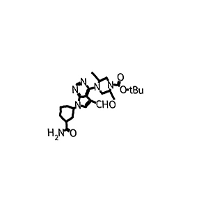 CC1CN(c2ncnc3c2c(C=O)cn3C2CCCC(C(N)=O)C2)C(C)CN1C(=O)OC(C)(C)C